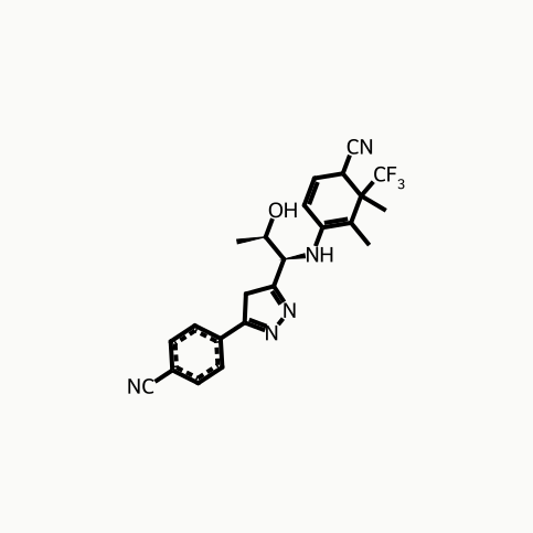 CC1=C(N[C@@H](C2=NN=C(c3ccc(C#N)cc3)C2)[C@@H](C)O)C=CC(C#N)C1(C)C(F)(F)F